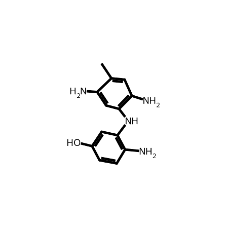 Cc1cc(N)c(Nc2cc(O)ccc2N)cc1N